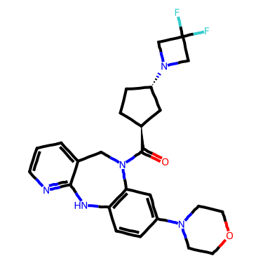 O=C([C@H]1CC[C@H](N2CC(F)(F)C2)C1)N1Cc2cccnc2Nc2ccc(N3CCOCC3)cc21